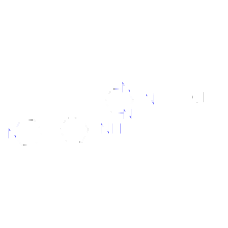 CC1CCN(c2nccc(Nc3ccc(-c4ccncc4)cc3)n2)CC1